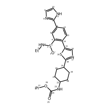 CCN[S+]([O-])c1cc(-c2ncc[nH]2)ccc1-c1cnc(C2CCC(NC(=O)OC(C)C)CC2)s1